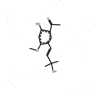 COc1cc(O)c(C(C)=O)cc1C=CC(C)(C)O